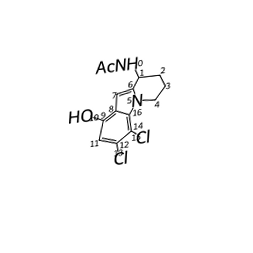 CC(=O)NC1CCCn2c1cc1c(O)cc(Cl)c(Cl)c12